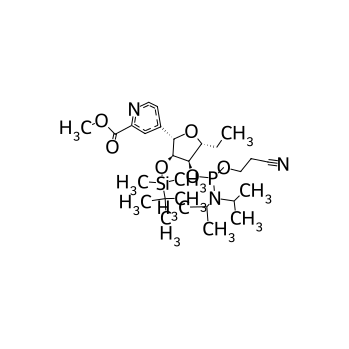 CC[C@H]1O[C@@H](c2ccnc(C(=O)OC)c2)[C@H](O[Si](C)(C)C(C)(C)C)[C@@H]1OP(OCCC#N)N(C(C)C)C(C)C